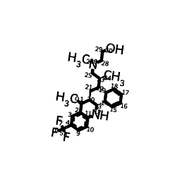 CC1c2cc(C(F)(F)F)ccc2N[C@@H](C2C=CC=CC2)[C@@H]1CC[C@@H](C)CN(C)CCO